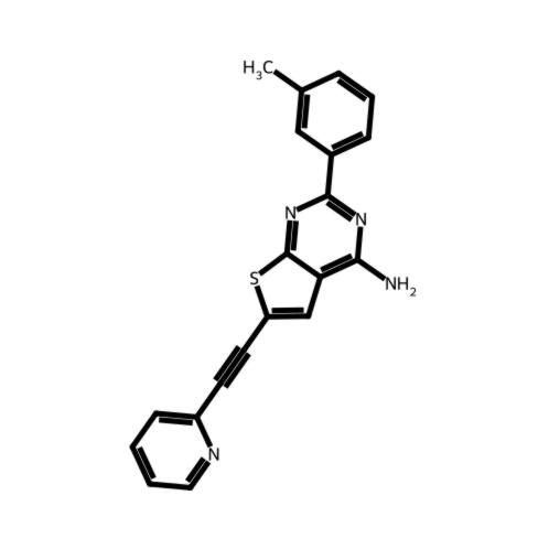 Cc1cccc(-c2nc(N)c3cc(C#Cc4ccccn4)sc3n2)c1